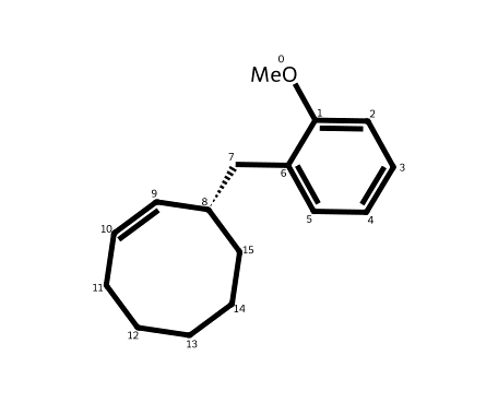 COc1ccccc1C[C@H]1/C=C\CCCCC1